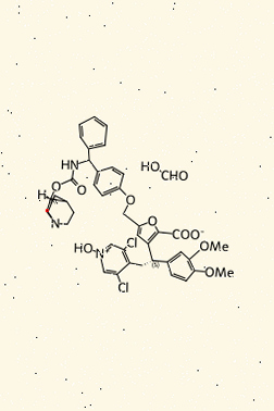 COc1ccc([C@H](Cc2c(Cl)c[n+](O)cc2Cl)c2cc(COc3ccc(C(NC(=O)O[C@H]4CN5CCC4CC5)c4ccccc4)cc3)oc2C(=O)[O-])cc1OC.O=CO